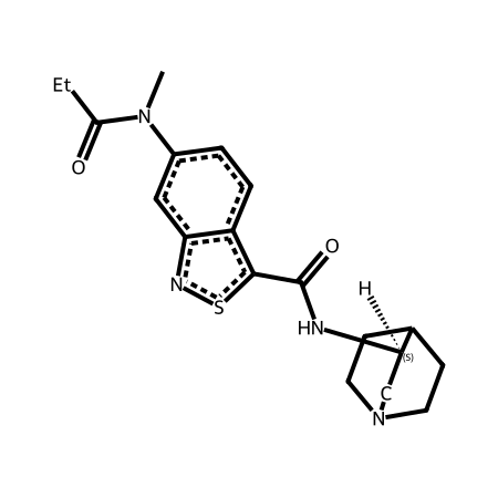 CCC(=O)N(C)c1ccc2c(C(=O)N[C@@H]3CN4CCC3CC4)snc2c1